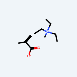 C=C(C)C(=O)[O-].CC[N+](C)(CC)CC